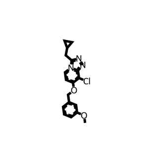 COc1cccc(COc2ccn3c(CC4CC4)nnc3c2Cl)c1